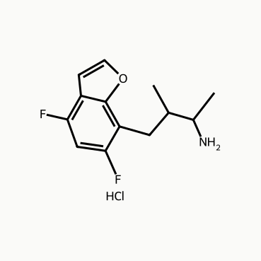 CC(N)C(C)Cc1c(F)cc(F)c2ccoc12.Cl